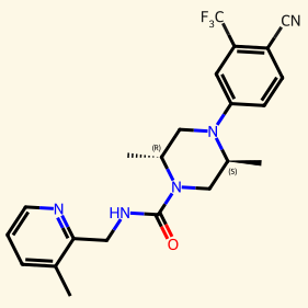 Cc1cccnc1CNC(=O)N1C[C@H](C)N(c2ccc(C#N)c(C(F)(F)F)c2)C[C@H]1C